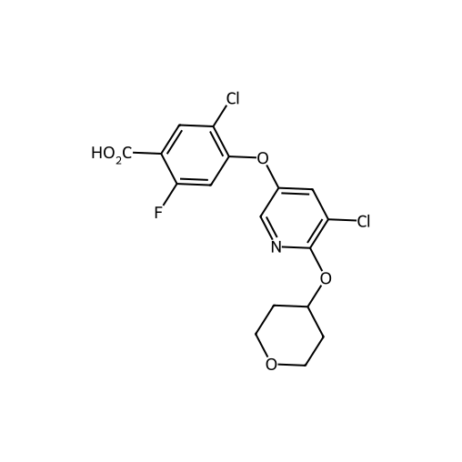 O=C(O)c1cc(Cl)c(Oc2cnc(OC3CCOCC3)c(Cl)c2)cc1F